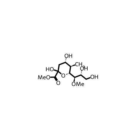 COC(=O)C1(O)C[C@H](O)[C@@H](C)[C@H]([C@H](OC)[C@H](O)CO)O1